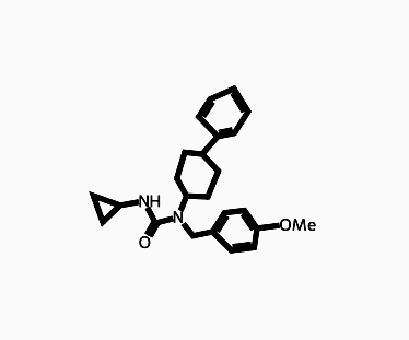 COc1ccc(CN(C(=O)NC2CC2)C2CCC(c3ccccc3)CC2)cc1